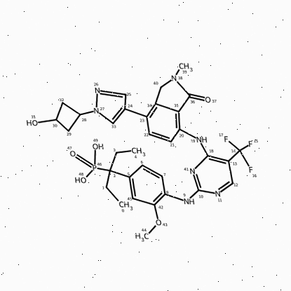 CCC(CC)(c1ccc(Nc2ncc(C(F)(F)F)c(Nc3ccc(-c4cnn(C5CC(O)C5)c4)c4c3C(=O)N(C)C4)n2)c(OC)c1)P(=O)(O)O